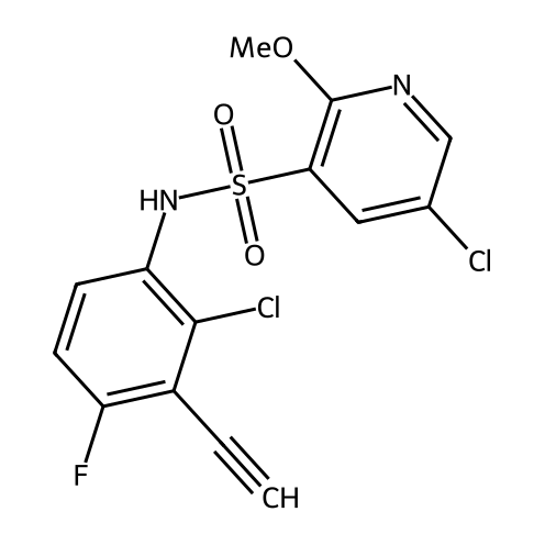 C#Cc1c(F)ccc(NS(=O)(=O)c2cc(Cl)cnc2OC)c1Cl